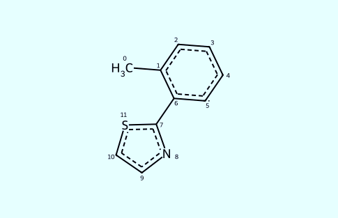 Cc1ccc[c]c1-c1nccs1